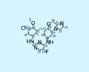 COc1c(C)cc(Nc2ncc(F)c(Nc3ccc4c(c3)-n3ccnc3CO4)n2)cc1Cl